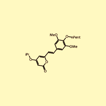 CCCCCOc1c(OC)cc(/C=C/c2cc(OC(C)C)cc(=O)o2)cc1OC